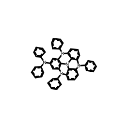 c1ccc(B2c3cccc4c3N3c5c2cccc5B(c2ccccc2)c2cc(N(c5ccccc5)c5ccccc5)cc(c23)B4c2ccccc2)cc1